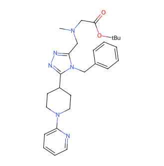 CN(CC(=O)OC(C)(C)C)Cc1nnc(C2CCN(c3ccccn3)CC2)n1Cc1ccccc1